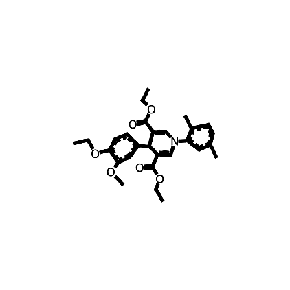 CCOC(=O)C1=CN(c2cc(C)ccc2C)C=C(C(=O)OCC)C1c1ccc(OCC)c(OC)c1